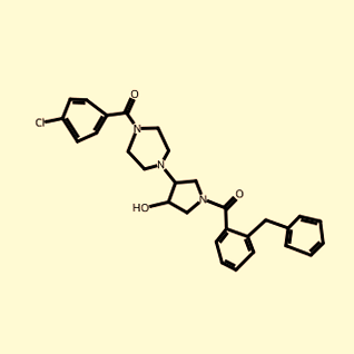 O=C(c1ccc(Cl)cc1)N1CCN(C2CN(C(=O)c3ccccc3Cc3ccccc3)CC2O)CC1